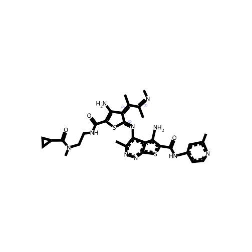 C\N=C(C)/C(C)=C1/C(N)=C(C(=O)NCCN(C)C(=O)C2CC2)S/C1=N\c1c(C)nnc2sc(C(=O)Nc3ccnc(C)c3)c(N)c12